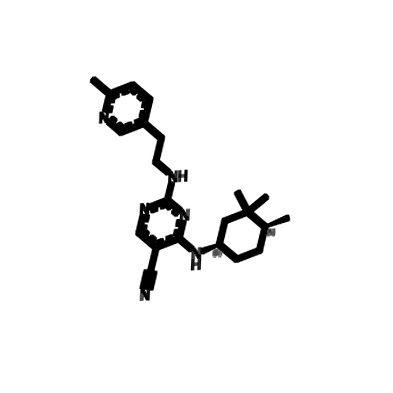 Cc1ccc(CCNc2ncc(C#N)c(N[C@@H]3CC[C@H](C)C(C)(C)C3)n2)cn1